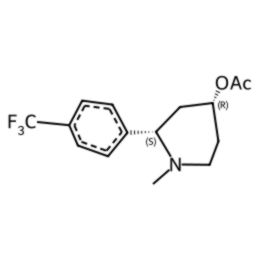 CC(=O)O[C@@H]1CCN(C)[C@H](c2ccc(C(F)(F)F)cc2)C1